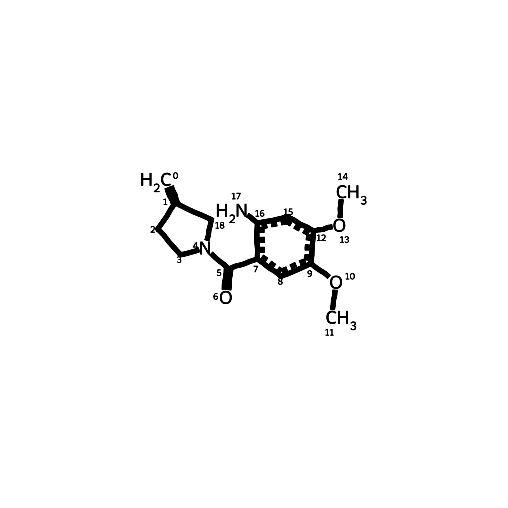 C=C1CCN(C(=O)c2cc(OC)c(OC)cc2N)C1